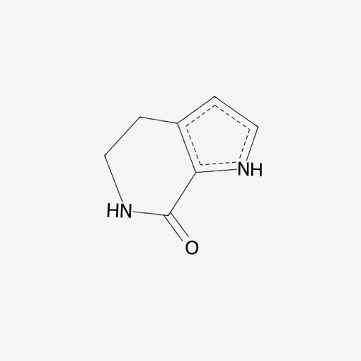 O=C1NCCc2cc[nH]c21